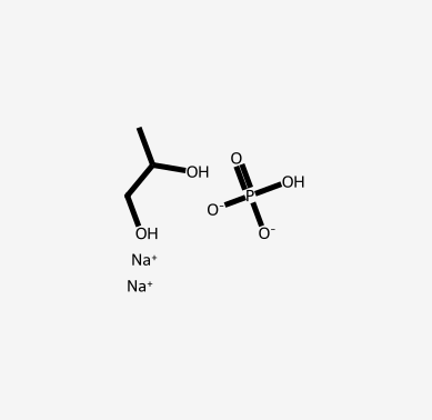 CC(O)CO.O=P([O-])([O-])O.[Na+].[Na+]